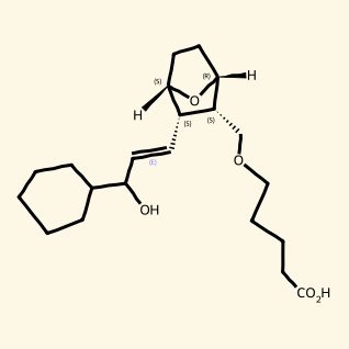 O=C(O)CCCCOC[C@@H]1[C@H](/C=C/C(O)C2CCCCC2)[C@@H]2CC[C@H]1O2